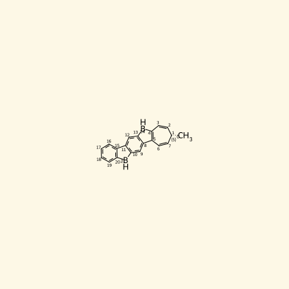 C[C@H]1C=CC2=C(C=C1)c1cc3c(cc1B2)-c1ccccc1B3